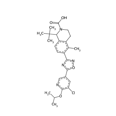 Cc1c(-c2noc(-c3cnc(OC(C)C)c(Cl)c3)n2)ccc2c1CCN(C(=O)O)C2C(C)(C)C